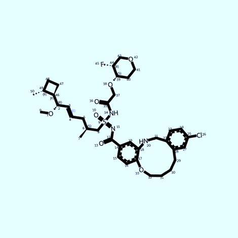 CO[C@@H](/C=C/C[C@H](C)CS(=O)(=NC(=O)c1ccc2c(c1)NCc1ccc(Cl)cc1CCCCO2)NC(=O)CO[C@H]1CCOC[C@H]1F)[C@@H]1CC[C@H]1C